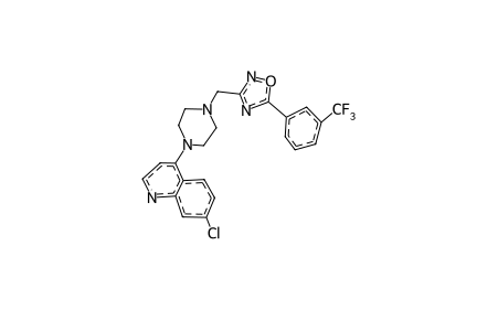 FC(F)(F)c1cccc(-c2nc(CN3CCN(c4ccnc5cc(Cl)ccc45)CC3)no2)c1